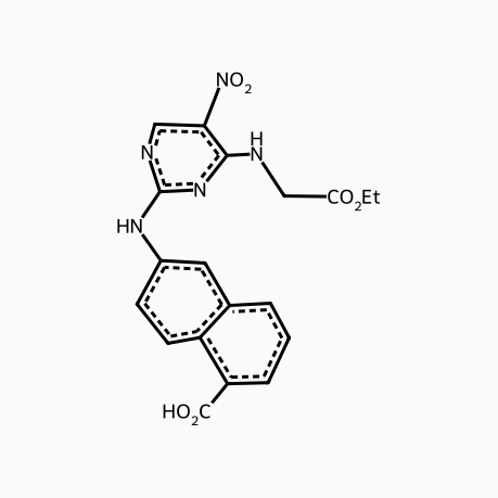 CCOC(=O)CNc1nc(Nc2ccc3c(C(=O)O)cccc3c2)ncc1[N+](=O)[O-]